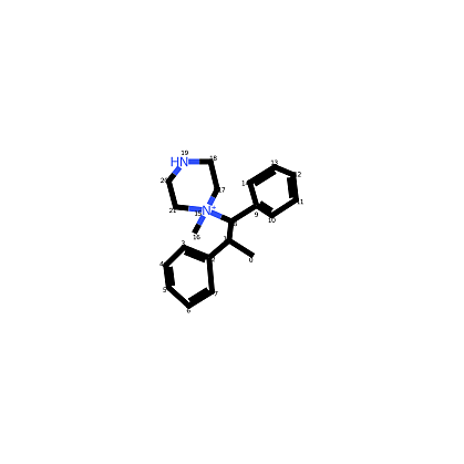 CC(c1ccccc1)C(c1ccccc1)[N+]1(C)CCNCC1